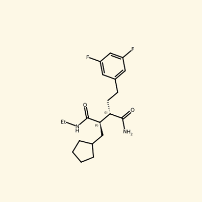 CCNC(=O)[C@H](CC1CCCC1)[C@H](CCc1cc(F)cc(F)c1)C(N)=O